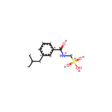 CC(C)Cc1cccc(C(=O)NCS(=O)(=O)O)c1